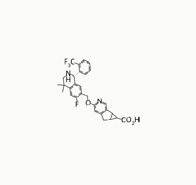 CC1(C)CN[C@H](c2ccccc2C(F)(F)F)c2cc(COc3cc4c(cn3)C3C(C4)C3C(=O)O)c(F)cc21